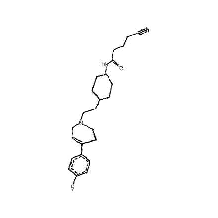 N#CCCCC(=O)NC1CCC(CCN2CC=C(c3ccc(F)cc3)CC2)CC1